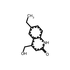 CCc1ccc2[nH]c(=O)cc(CO)c2c1